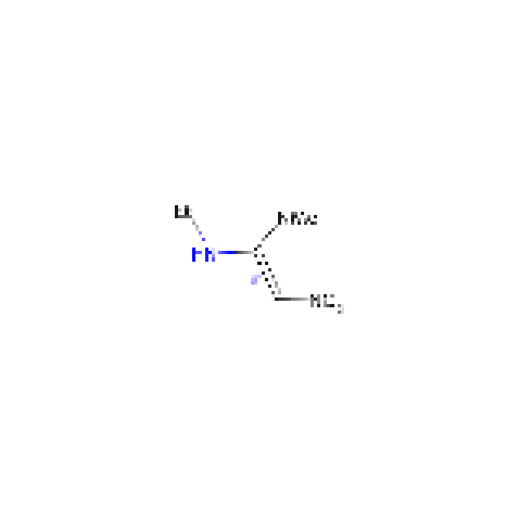 CCN/C(=C/[N+](=O)[O-])NC